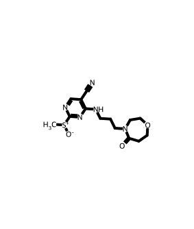 C[S+]([O-])c1ncc(C#N)c(NCCCN2CCOCCC2=O)n1